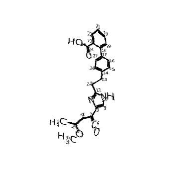 COC(C)CC(=C=O)c1c[nH]c(CCc2ccc(-c3ccccc3C(=O)O)cc2)n1